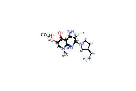 CCn1cc(OC(=O)O)c(=O)c2c(N)c(F)c(N3CCC(CN)C3)nc21